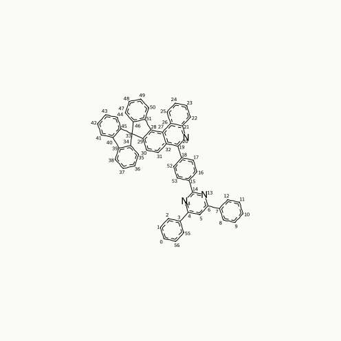 c1ccc(-c2cc(-c3ccccc3)nc(-c3ccc(-c4nc5ccccc5c5c6c(ccc45)C4(c5ccccc5-c5ccccc54)c4ccccc4-6)cc3)n2)cc1